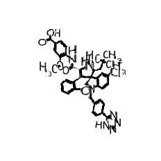 COc1cc(C(=O)O)ccc1NC(=O)[C@@H]1N[C@@H](CC(C)(C)C)[C@@]2(CN(Cc3ccc(-c4nnn[nH]4)cc3)c3ccc(Cl)cc32)[C@H]1c1ccccc1Cl